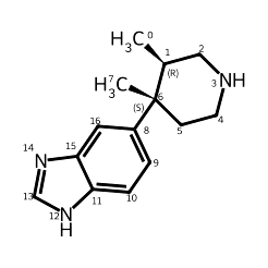 C[C@H]1CNCC[C@]1(C)c1ccc2[nH]cnc2c1